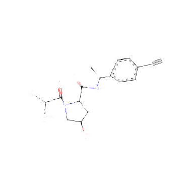 C#Cc1ccc([C@H](C)NC(=O)C2CC(O)CN2C(=O)C(NC(C)=O)C(C)(C)C)cc1